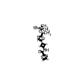 C[C@@H](O[Si](C)(C)C(C)(C)C)c1nnc([C@H]2C[C@H](NC(=O)c3nccs3)C2)o1